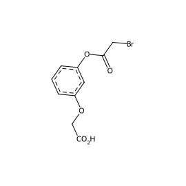 O=C(O)COc1cccc(OC(=O)CBr)c1